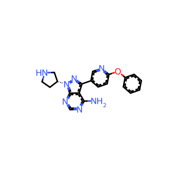 Nc1ncnc2c1c(-c1ccc(Oc3ccccc3)nc1)nn2[C@@H]1CCNC1